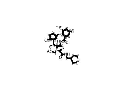 CC(=O)Cn1c(C(=O)NCC2CCOCC2)nc(NC(=O)c2cc(F)cc(C(F)(F)F)c2)c1[C@@H](C)c1cc(F)ccc1Cl